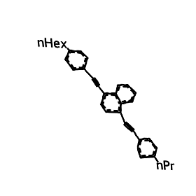 CCCCCCc1ccc(C#Cc2ccc(C#Cc3ccc(CCC)cc3)c3ccccc23)cc1